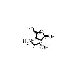 NCCO.O=C1CCC(=O)O1